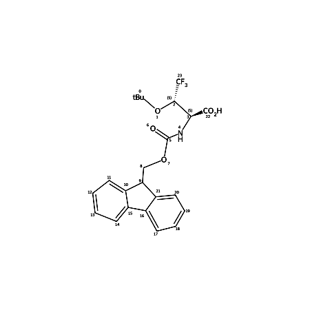 CC(C)(C)O[C@@H]([C@H](NC(=O)OCC1c2ccccc2-c2ccccc21)C(=O)O)C(F)(F)F